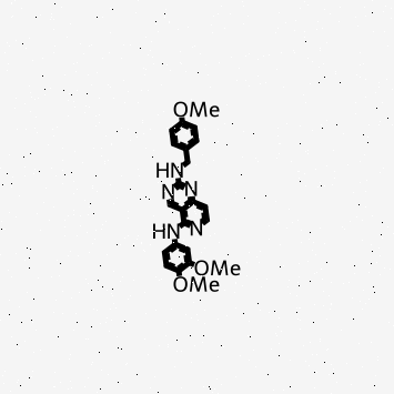 COc1ccc(CNc2ncc3c(Nc4ccc(OC)c(OC)c4)nccc3n2)cc1